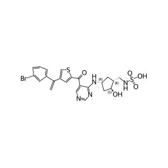 C=C(c1cccc(Br)c1)c1csc(C(=O)c2cncnc2N[C@@H]2C[C@H](CNS(=O)(=O)O)[C@@H](O)C2)c1